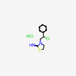 Cl.N=C1SCCN1CC(Cl)c1ccccc1